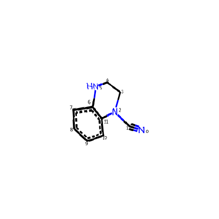 N#CN1CCNc2ccccc21